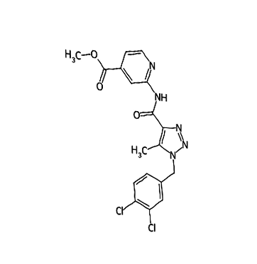 COC(=O)c1ccnc(NC(=O)c2nnn(Cc3ccc(Cl)c(Cl)c3)c2C)c1